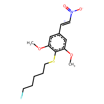 COc1cc(/C=C/[N+](=O)[O-])cc(OC)c1SCCCCCF